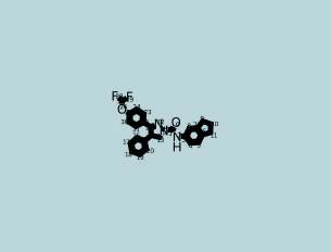 O=C(Nc1ccc2c(c1)CCC2)N1CC(c2ccccc2)C(c2ccc(OC(F)F)cc2)=N1